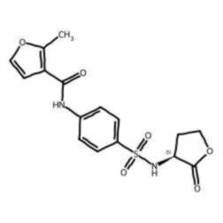 Cc1occc1C(=O)Nc1ccc(S(=O)(=O)N[C@H]2CCOC2=O)cc1